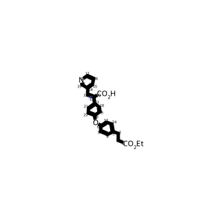 CCOC(=O)CCc1ccc(Oc2ccc(/C(=C/c3cccnc3)C(=O)O)cc2)cc1